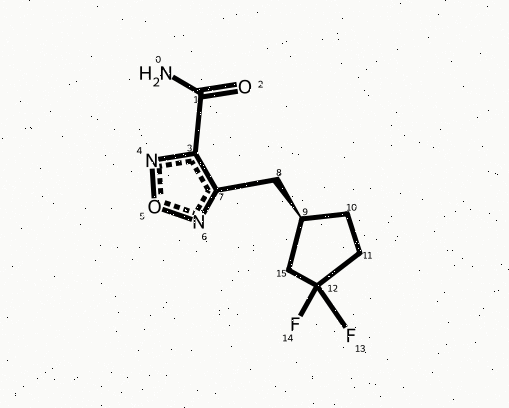 NC(=O)c1nonc1C[C@H]1CCC(F)(F)C1